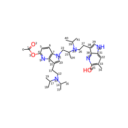 CC(=O)Oc1ccc2c(n1)c(CCN(C(C)C)C(C)C)cn2CC(C)N(CCc1c[nH]c2cc(C)c(O)nc12)C(C)C